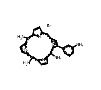 Nc1cccc(-c2cc3cc4nc(c(N)c5ccc([nH]5)c(N)c5nc(c(N)c2[nH]3)C=C5)C=C4)c1.[Re]